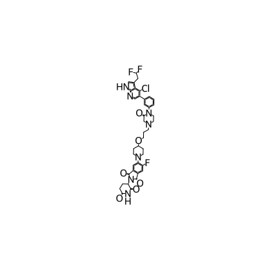 O=C1CCC(N2C(=O)c3cc(F)c(N4CCC(OCCCN5CCN(c6cccc(-c7cnc8[nH]cc(CC(F)F)c8c7Cl)c6)C(=O)C5)CC4)cc3C2=O)C(=O)N1